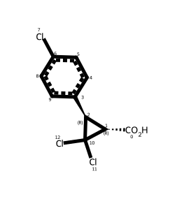 O=C(O)[C@H]1[C@H](c2ccc(Cl)cc2)C1(Cl)Cl